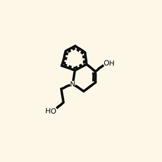 OCCN1CC=C(O)c2ccccc21